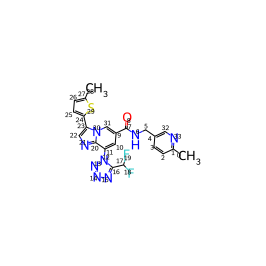 Cc1ccc(CNC(=O)c2cc(-n3nnnc3C(F)F)c3ncc(-c4ccc(C)s4)n3c2)cn1